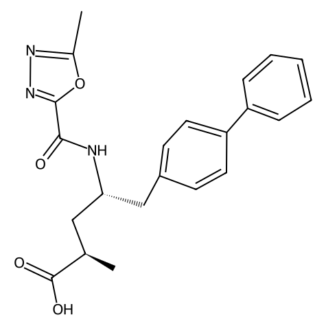 Cc1nnc(C(=O)N[C@H](Cc2ccc(-c3ccccc3)cc2)C[C@@H](C)C(=O)O)o1